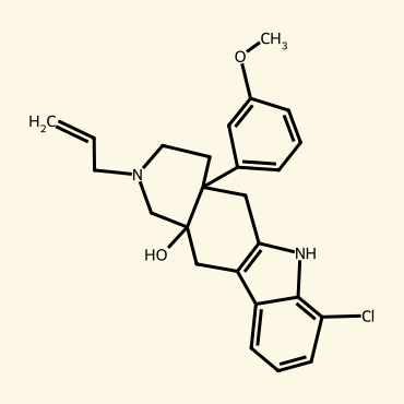 C=CCN1CCC2(c3cccc(OC)c3)Cc3[nH]c4c(Cl)cccc4c3CC2(O)C1